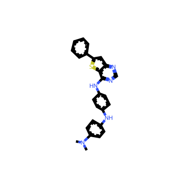 CN(C)c1ccc(Nc2ccc(Nc3ncnc4cc(-c5ccccc5)sc34)cc2)cc1